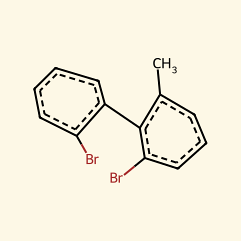 Cc1cccc(Br)c1-c1ccccc1Br